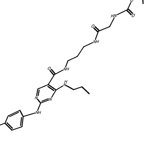 CCCNc1nc(Nc2ccc(C(N)=O)cc2)ncc1C(=O)NCCCNC(=O)CNC(=O)OC(C)(C)C